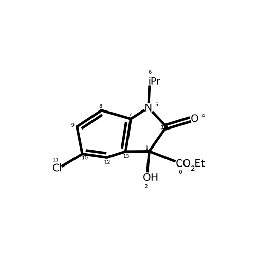 CCOC(=O)C1(O)C(=O)N(C(C)C)c2ccc(Cl)cc21